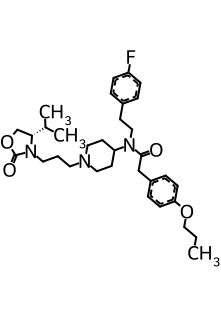 CCCOc1ccc(CC(=O)N(CCc2ccc(F)cc2)C2CCN(CCCN3C(=O)OC[C@@H]3C(C)C)CC2)cc1